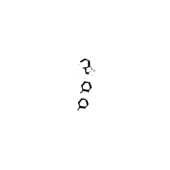 Cc1ccc(Oc2ccc(Nc3n[nH]c4cccnc34)cc2Cl)cc1